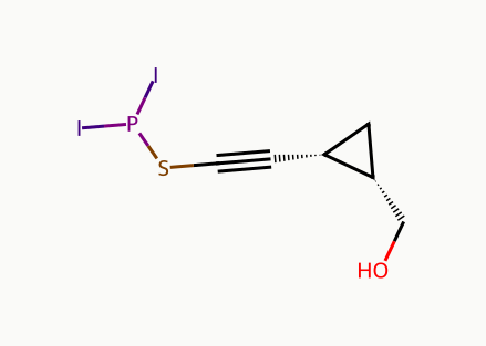 OC[C@H]1C[C@H]1C#CSP(I)I